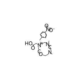 CN1CCOCCN(CC(=O)O)[C@H](Cc2ccc([N+](=O)[O-])cc2)CN(C)CC1